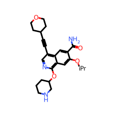 CC(C)Oc1cc2c(OC3CCCNC3)ncc(C#CC3CCOCC3)c2cc1C(N)=O